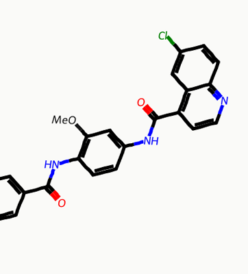 COc1cc(NC(=O)c2ccnc3ccc(Cl)cc23)ccc1NC(=O)c1cccc(Cl)c1